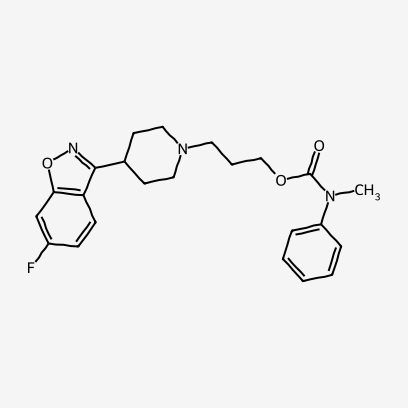 CN(C(=O)OCCCN1CCC(c2noc3cc(F)ccc23)CC1)c1ccccc1